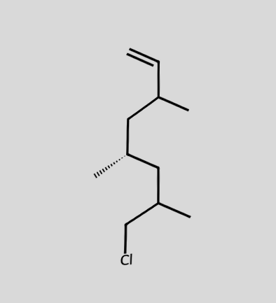 C=CC(C)C[C@@H](C)CC(C)CCl